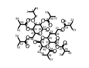 CC(C)COC1C(OC(=O)C(C)C)[C@@H](O[C@@H]2C(COC(=O)C(C)C)O[C@@H](OC(=O)C(C)C)C(OC(=O)C(C)C)C2OC(=O)C(C)C)OC(COC(=O)C(C)C)[C@H]1OC(=O)C(C)C